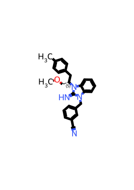 COC[C@H](Cc1ccc(C)cc1)n1c(=N)n(Cc2cccc(C#N)c2)c2ccccc21